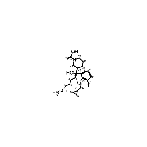 COCCCC[C@@](O)(c1cccc(F)c1OCC1CC1)C1CCCN(C(=O)O)C1